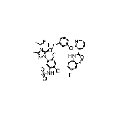 Cc1nn(-c2cc(NS(C)(=O)=O)c(Cl)cc2Cl)c(=O)n1C(F)F.O=C(Nc1ccc(F)cc1F)c1cccnc1Oc1cccc(C(F)(F)F)c1